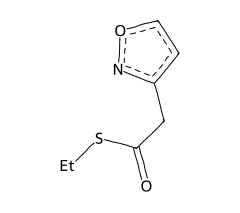 CCSC(=O)Cc1ccon1